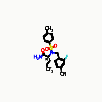 Cc1ccc(S(=O)(=O)N(Cc2ccc(C#N)cc2F)[C@H](CCC(F)(F)F)C(N)=O)cc1